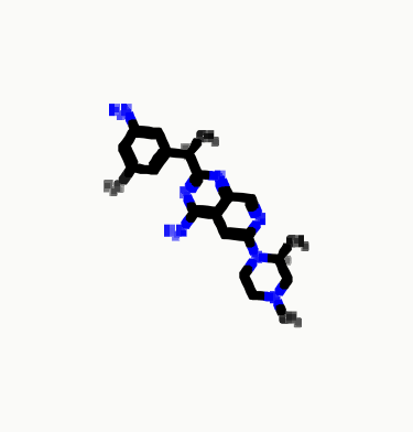 C[C@H](c1cc(N)cc(C(F)(F)F)c1)c1nc(N)c2cc(N3CCN(C)C[C@@H]3C)ncc2n1